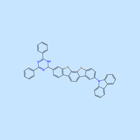 c1ccc(C2=NC(c3ccc4c(c3)sc3c4ccc4c5cc(-n6c7ccccc7c7ccccc76)ccc5sc43)NC(c3ccccc3)=N2)cc1